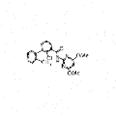 COc1cc(OC)nc(NC(=O)c2cccc(-c3ccccc3C)c2O)n1